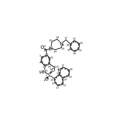 O=C(c1ccc(NS(=O)(=O)c2cccc3cccnc23)c(F)c1)N1CCN(Cc2ccccc2)CC1